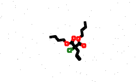 C=CCC(Cl)(C(=O)OCCCC)C(=O)OCCCC